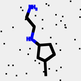 CC1CCC(NCCN)C1